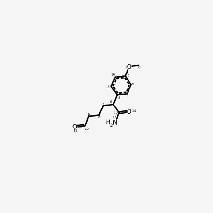 COc1ccc(C(CCCC=O)C(N)=O)cc1